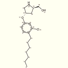 CCCCCCCc1ccc(O[C@@H]2CN[C@@H](CO)C2)cc1Cl